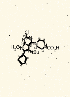 Cn1c(-c2ccccc2)c(C(C)(C)C)c2c(N3CCN(C(=O)O)CC3)nc(Cl)nc21